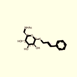 CC(=O)NC[C@H]1O[C@@H](SC/C=C/c2ccccc2)[C@@H](O)[C@@H](O)[C@@H]1O